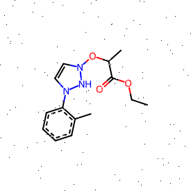 CCOC(=O)C(C)ON1C=CN(c2ccccc2C)N1